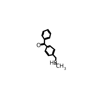 CBCc1ccc(C(=O)c2ccccc2)cc1